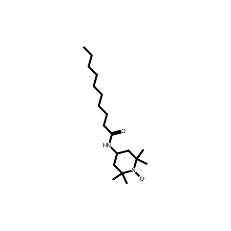 CCCCCCCCCC(=O)NC1CC(C)(C)N([O])C(C)(C)C1